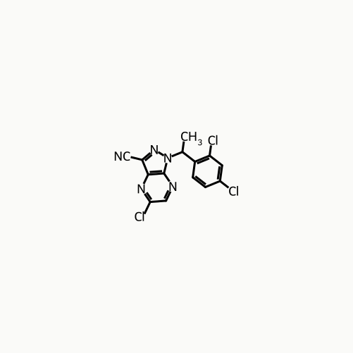 CC(c1ccc(Cl)cc1Cl)n1nc(C#N)c2nc(Cl)cnc21